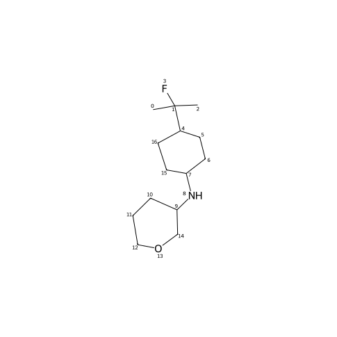 CC(C)(F)C1CCC(NC2CCCOC2)CC1